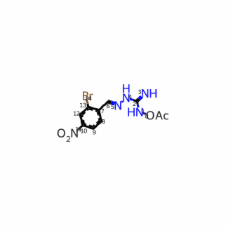 CC(=O)ONC(=N)NN=Cc1ccc([N+](=O)[O-])cc1Br